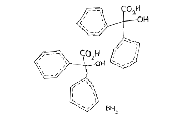 B.O=C(O)C(O)(c1ccccc1)c1ccccc1.O=C(O)C(O)(c1ccccc1)c1ccccc1